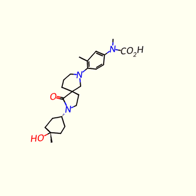 Cc1cc(N(C)C(=O)O)ccc1N1CCCC2(CCN([C@H]3CC[C@@](C)(O)CC3)C2=O)C1